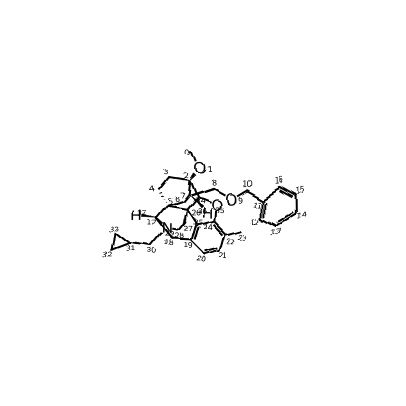 CO[C@]12CC[C@@]3(C[C@H]1COCc1ccccc1)[C@H]1Cc4ccc(C)c5c4[C@@]3(CCN1CC1CC1)C2O5